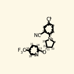 N#Cc1cc(Cl)ccc1N1CC[C@H](Oc2ccc(C(F)(F)F)cn2)C1